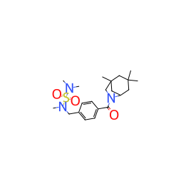 CN(C)S(=O)(=O)N(C)Cc1ccc(C(=O)N2CC3(C)CC2CC(C)(C)C3)cc1